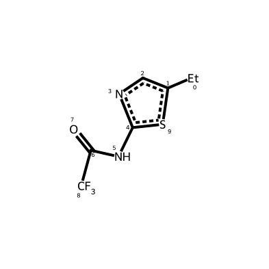 CCc1cnc(NC(=O)C(F)(F)F)s1